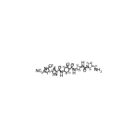 Cn1c(-c2cn(CC#N)nc2C(F)(F)F)cnc1C(=O)Nc1ccc(C(=O)NC2CC(NC(=O)N3CCC(CN)C3)C2)c(Cl)c1